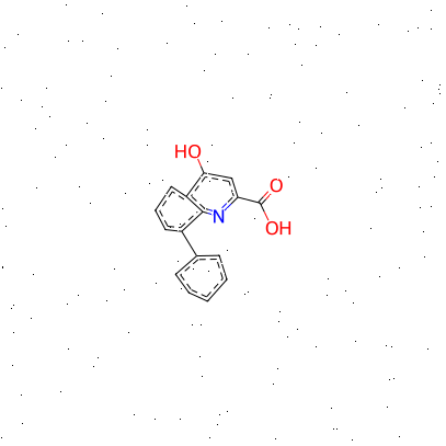 O=C(O)c1cc(O)c2cccc(-c3ccccc3)c2n1